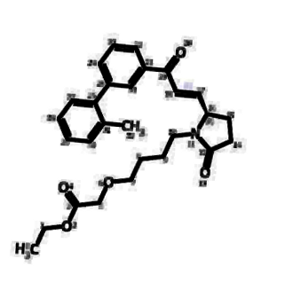 CCOC(=O)COCCCCN1C(=O)CC[C@@H]1/C=C/C(=O)c1cccc(-c2ccccc2C)c1